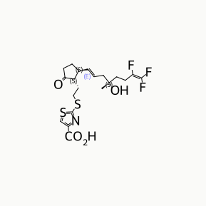 C[C@@](O)(C/C=C/[C@@H]1CCC(=O)[C@H]1CCSc1nc(C(=O)O)cs1)CCC(F)=C(F)F